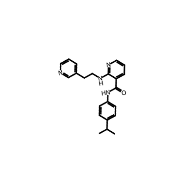 CC(C)c1ccc(NC(=O)c2cccnc2NCCc2cccnc2)cc1